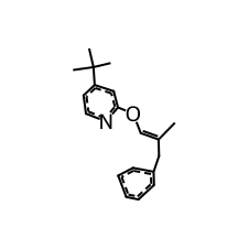 C/C(=C\Oc1cc(C(C)(C)C)ccn1)Cc1ccccc1